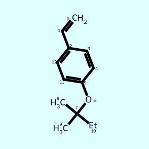 C=Cc1ccc(OC(C)(C)CC)cc1